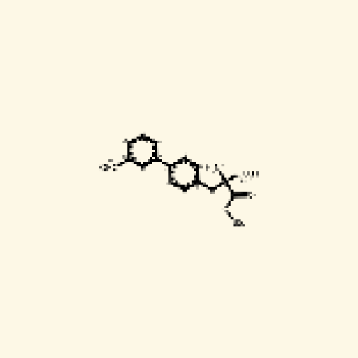 CC(C)(C)OC(=O)C(N)(Cc1ccc(-c2cccc(C=O)c2)cc1)C(=O)O